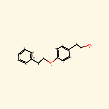 OCCc1ccc(OCCc2ccccc2)cc1